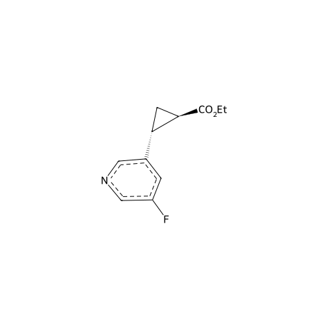 CCOC(=O)[C@@H]1C[C@H]1c1cncc(F)c1